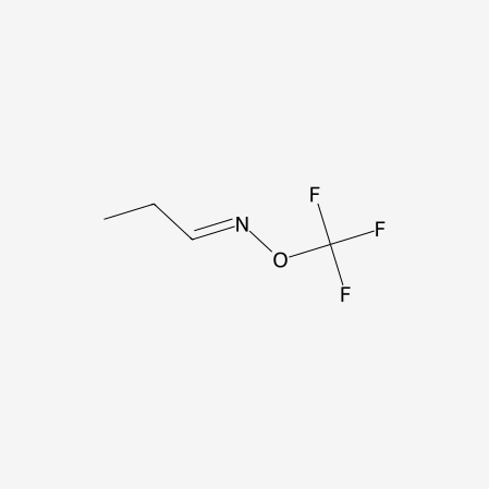 CCC=NOC(F)(F)F